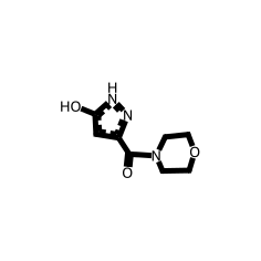 O=C(c1cc(O)[nH]n1)N1CCOCC1